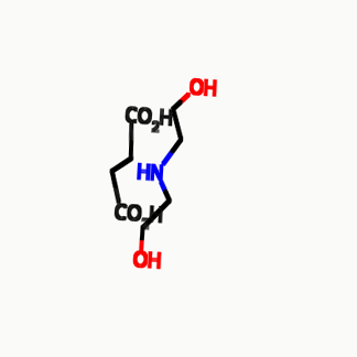 O=C(O)CCC(=O)O.OCCNCCO